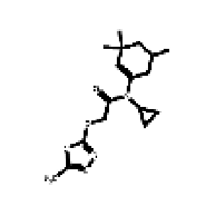 CC1CC(N(C(=O)COc2nnc(C(F)(F)F)s2)C2CC2)=CC(C)(C)C1